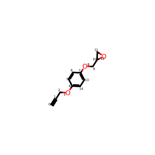 C#CCOc1ccc(OCC2CO2)cc1